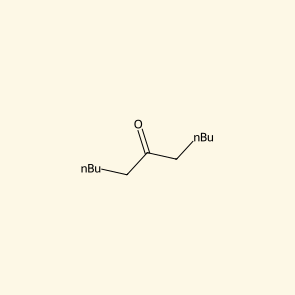 [CH2]CCCCC(=O)CCCCC